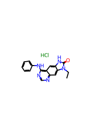 CCn1c(=O)[nH]c2cc3c(Nc4ccccc4)ncnc3cc21.Cl